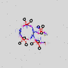 CCCNC(O)c1ccc(C(=O)NCCN2CCNC(=O)c3ccc(c(OCc4ccccc4)c3OCc3ccccc3)C(=O)NCCNCCNC(=O)c3ccc(c(OCc4ccccc4)c3OCc3ccccc3)C(=O)NCCN(CCNC(=O)c3ccc(C(=O)N4CCSC4=S)c(OCc4ccccc4)c3OCc3ccccc3)CC2)c(OCc2ccccc2)c1OCc1ccccc1